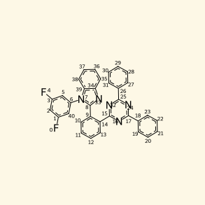 Fc1cc(F)cc(-n2c(-c3ccccc3-c3nc(-c4ccccc4)nc(-c4ccccc4)n3)nc3ccccc32)c1